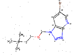 C[Si](C)(C)CCOCn1nnc2ncc(Br)cc21